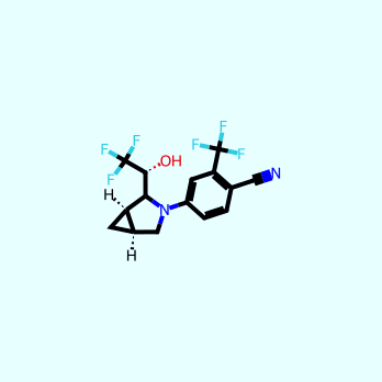 N#Cc1ccc(N2C[C@H]3C[C@H]3C2[C@@H](O)C(F)(F)F)cc1C(F)(F)F